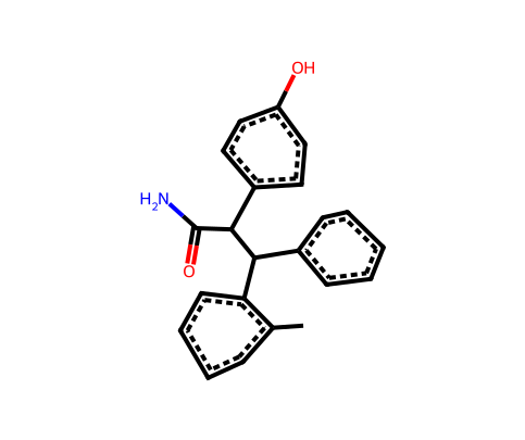 Cc1ccccc1C(c1ccccc1)C(C(N)=O)c1ccc(O)cc1